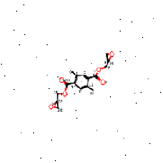 Cc1cc(C(=O)OC[C@H]2CO2)c(C)cc1C(=O)OCC1CO1